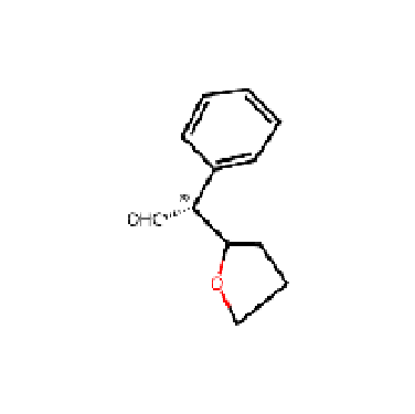 O=C[C@H](c1ccccc1)C1CCCO1